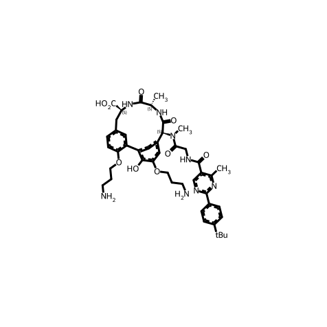 Cc1nc(-c2ccc(C(C)(C)C)cc2)ncc1C(=O)NCC(=O)N(C)[C@@H]1C(=O)N[C@@H](C)C(=O)N[C@H](C(=O)O)Cc2ccc(OCCCN)c(c2)-c2cc1cc(OCCCN)c2O